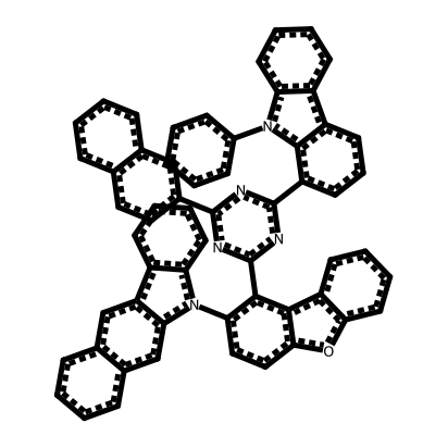 c1ccc(-n2c3ccccc3c3cccc(-c4nc(-c5ccc6ccccc6c5)nc(-c5c(-n6c7ccccc7c7cc8ccccc8cc76)ccc6oc7ccccc7c56)n4)c32)cc1